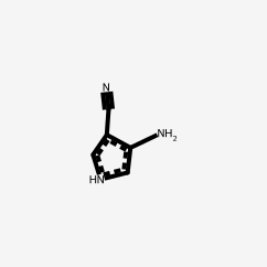 N#Cc1c[nH]cc1N